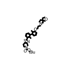 Cc1c(OCCCN2CCC3(CCOC3)C2)cccc1-c1cccc(-c2nc3c(s2)CCN(C(=O)OC(C)(C)C)C3)c1C